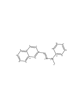 CN(N=Cc1ccc2ccccc2c1)c1ccccc1